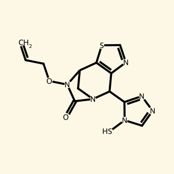 C=CCON1C(=O)N2CC1c1scnc1C2c1nncn1S